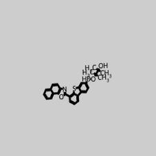 CC(C)(O)C(C)(C)OBc1ccc2c(c1)sc1c(-c3nc4ccc5ccccc5c4o3)cccc12